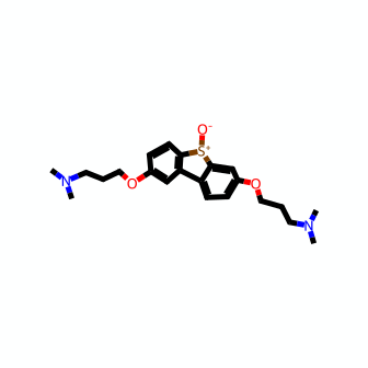 CN(C)CCCOc1ccc2c(c1)c1ccc(OCCCN(C)C)cc1[s+]2[O-]